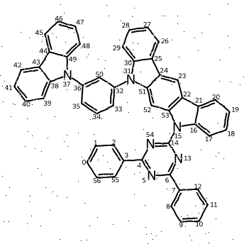 c1ccc(-c2nc(-c3ccccc3)nc(-n3c4ccccc4c4cc5c6ccccc6n(-c6cccc(-n7c8ccccc8c8ccccc87)c6)c5cc43)n2)cc1